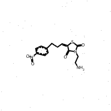 NCCN1C(=O)SC(=CCCc2ccc([N+](=O)[O-])cc2)C1=O